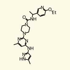 CCOc1ccc(C(C)NC(=O)N2CCN(c3nc(C)cc(Nc4cc(C)[nH]n4)n3)CC2)cn1